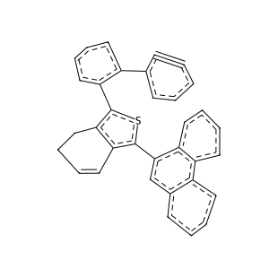 c1cccc(-c2ccccc2-c2sc(-c3cc4ccccc4c4ccccc34)c3c2CCC=C3)c#1